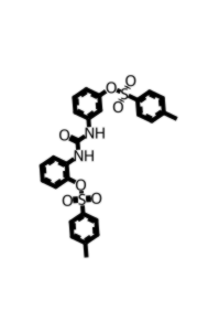 Cc1ccc(S(=O)(=O)Oc2cccc(NC(=O)Nc3ccccc3OS(=O)(=O)c3ccc(C)cc3)c2)cc1